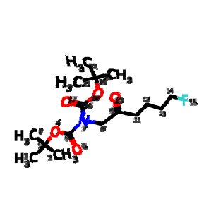 CC(C)(C)OC(=O)N(CC(=O)CCCCF)C(=O)OC(C)(C)C